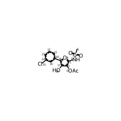 CC(=O)Oc1c(NS(C)(=O)=O)oc(-c2cccc(Cl)c2)c1O